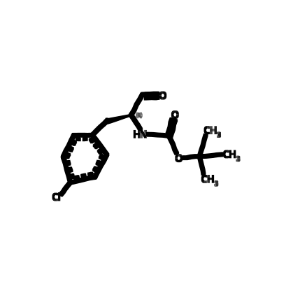 CC(C)(C)OC(=O)N[C@H](C=O)Cc1ccc(Cl)cc1